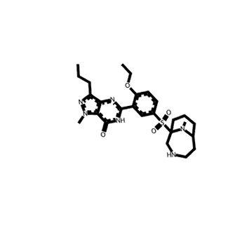 CCCc1nn(C)c2c(=O)[nH]c(-c3cc(S(=O)(=O)C45CCCC(CCNC4)N5C)ccc3OCC)nc12